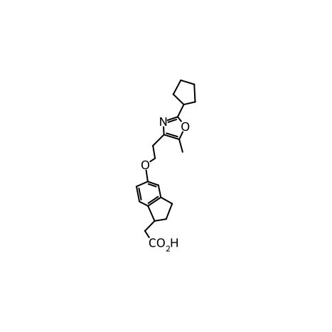 Cc1oc(C2CCCC2)nc1CCOc1ccc2c(c1)CCC2CC(=O)O